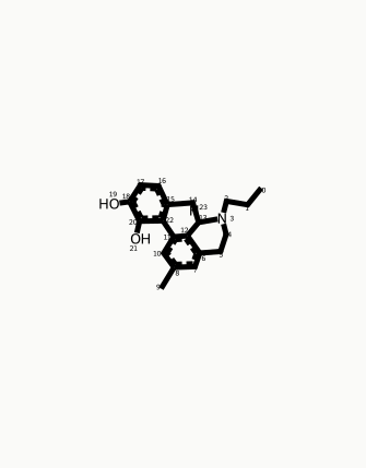 CCCN1CCc2cc(C)cc3c2[C@H]1Cc1ccc(O)c(O)c1-3